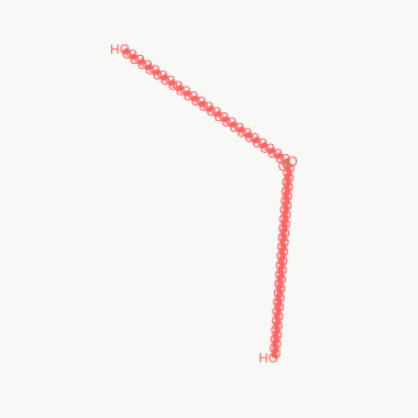 O=S(=O)(OOOOOOOOOOOOOOOOOOOOOOOOOOOOOOOOOOOOOOOOOO)OOOOOOOOOOOOOOOOOOOOOOOOOOOOOOOOOOOOOOOOOOO